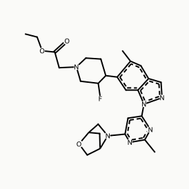 CCOC(=O)CN1CCC(c2cc3c(cnn3-c3cc(N4CC5CC4CO5)nc(C)n3)cc2C)C(F)C1